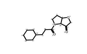 O=C1COC2CCN(C(=O)[CH]CC3CCCCC3)C12